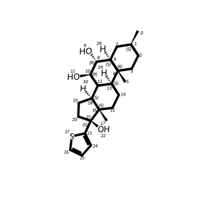 C[C@H]1CC[C@@]2(C)[C@H](C1)[C@@H](O)[C@H](O)C1[C@@H]2CC[C@@]2(C)[C@H]1CC[C@@]2(O)c1cccs1